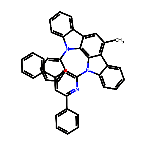 Cc1cc2c3ccccc3n(-c3ccccc3)c2c2c1c1ccccc1n2-c1cc(-c2ccccc2)cc(-c2ccccc2)n1